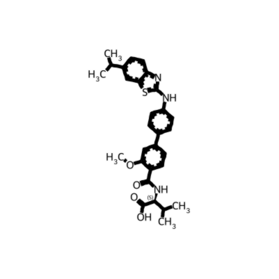 COc1cc(-c2ccc(Nc3nc4ccc(C(C)C)cc4s3)cc2)ccc1C(=O)N[C@H](C(=O)O)C(C)C